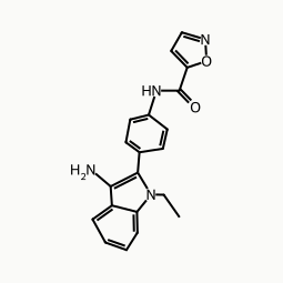 CCn1c(-c2ccc(NC(=O)c3ccno3)cc2)c(N)c2ccccc21